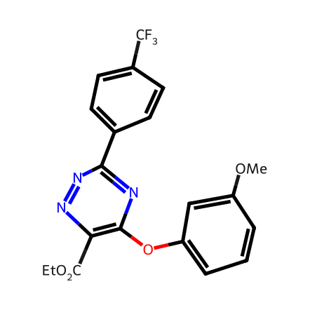 CCOC(=O)c1nnc(-c2ccc(C(F)(F)F)cc2)nc1Oc1cccc(OC)c1